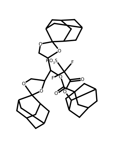 O=C(OC(C1COC2(O1)C1CC3CC(C1)CC2C3)C1COC2(O1)C1CC3CC(C1)CC2C3)C12CC3CC(C1)C(OC(=O)C(F)(F)S(=O)(=O)O)C(C3)C2